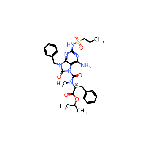 CCCS(=O)(=O)Nc1nc(N)c2c(n1)n(Cc1ccccc1)c(=O)n2C(=O)N(C)[C@@H](Cc1ccccc1)C(=O)OC(C)C